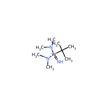 C[N](C)[W](=[NH])([N](C)C)[C](C)(C)C